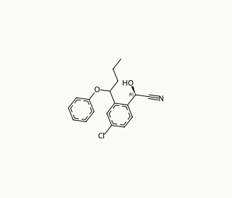 CCCC(Oc1ccccc1)c1cc(Cl)ccc1[C@@H](O)C#N